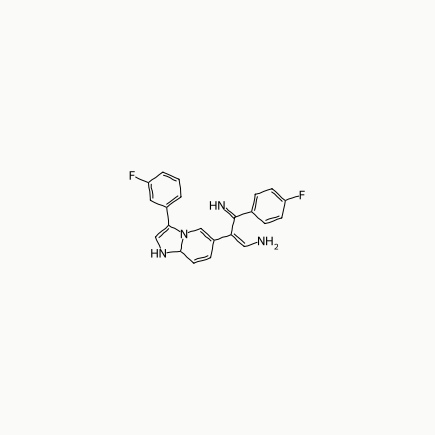 N=C(/C(=C\N)C1=CN2C(c3cccc(F)c3)=CNC2C=C1)c1ccc(F)cc1